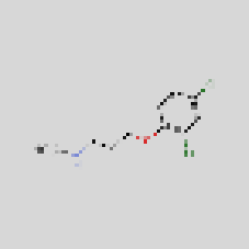 O=C(O)NCCCOc1ccc(Cl)cc1Cl